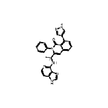 C[C@H](Nc1nccc2[nH]cnc12)c1cc2cccc(-c3cn[nH]c3)c2c(=O)n1-c1ccccc1